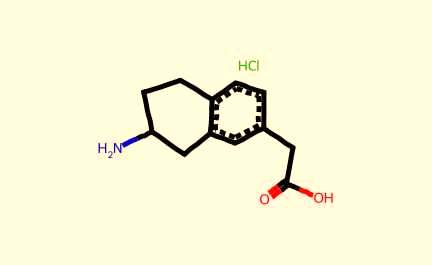 Cl.NC1CCc2ccc(CC(=O)O)cc2C1